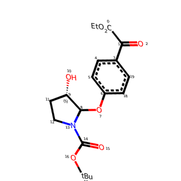 CCOC(=O)C(=O)c1ccc(OC2[C@@H](O)CCN2C(=O)OC(C)(C)C)cc1